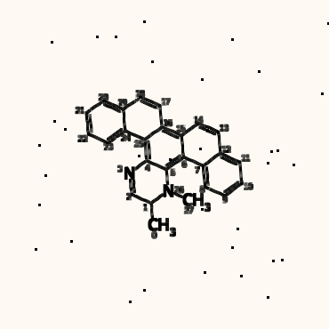 CC1C=Nc2c(c3c4ccccc4ccc3c3ccc4ccccc4c23)N1C